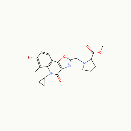 COC(=O)C1CCCN1Cc1nc2c(=O)n(C3CC3)c3c(C)c(Br)ccc3c2o1